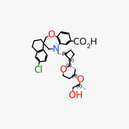 C[C@H](CO)O[C@@H]1CCO[C@H]([C@@H]2CC[C@H]2CN2CC3(CCCc4cc(Cl)ccc43)COc3ccc(C(=O)O)cc32)C1